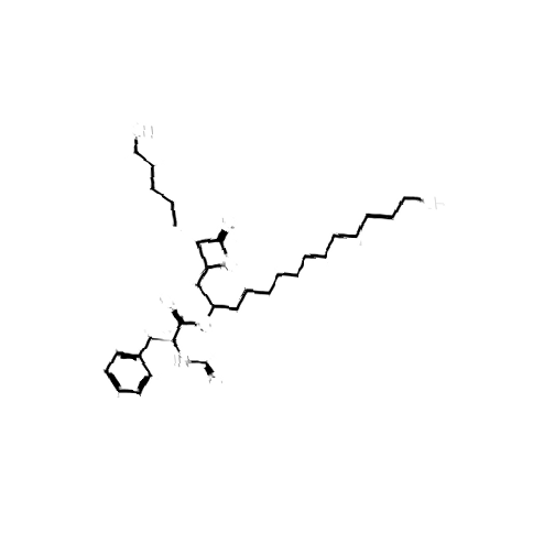 CCCCCCCCCCCCCC(CC1OC(=O)[C@H]1CCCCCC)OC(=O)[C@H](Cc1ccccc1)NC=O